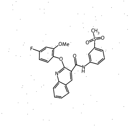 COc1cc(F)ccc1Oc1nc2ccccc2cc1C(=O)Nc1cccc(S(C)(=O)=O)c1